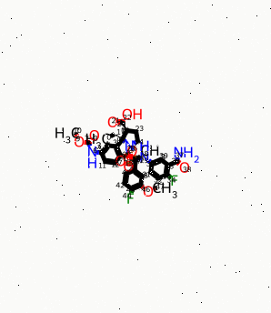 CC[C@]1(c2cc(NC(=O)OC)ccc2S(=O)(=O)CC)[C@@H](C(=O)O)CCN1C(=O)[C@H](Nc1ccc(F)c(C(N)=O)c1)c1ccc(F)c(OC)c1